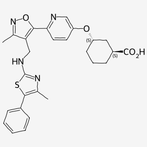 Cc1nc(NCc2c(C)noc2-c2ccc(O[C@H]3CCC[C@H](C(=O)O)C3)cn2)sc1-c1ccccc1